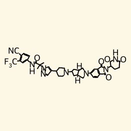 CC(C)(C(=O)Nc1ccc(C#N)c(C(F)(F)F)c1)n1cc(C2CCN(C3C[C@@H]4CN(c5ccc6c(c5)C(=O)N(C5CCC(=O)NC5=O)C6=O)C[C@@H]4C3)CC2)cn1